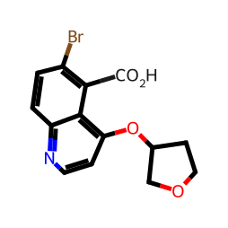 O=C(O)c1c(Br)ccc2nccc(OC3CCOC3)c12